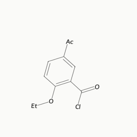 CCOc1ccc(C(C)=O)cc1C(=O)Cl